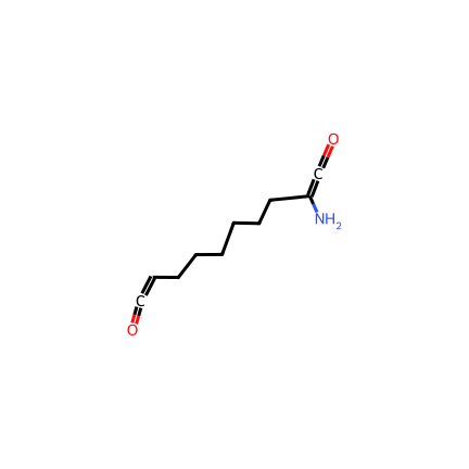 NC(=C=O)CCCCCCC=C=O